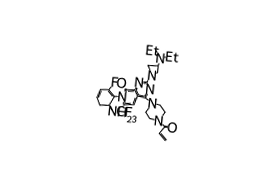 C=CC(=O)N1CCN(c2nc(N3CC(N(CC)CC)C3)nc3c(=O)n(C4=C(F)C=CCC4N)c(C(F)(F)F)cc23)CC1